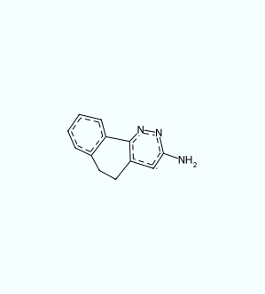 Nc1[c]c2c(nn1)-c1ccccc1CC2